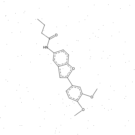 CCCC(=O)Nc1ccc2oc(-c3ccc(OC)c(OC)c3)cc2c1